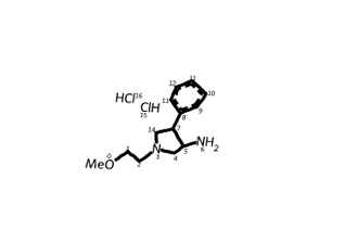 COCCN1CC(N)C(c2ccccc2)C1.Cl.Cl